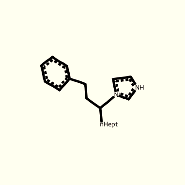 CCCCCCCC(CCc1ccccc1)[n+]1cc[nH]c1